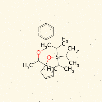 CC(OCc1ccccc1)C1(O[Si](C(C)C)(C(C)C)C(C)C)CC=CC1